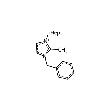 CCCCCCC[n+]1ccn(Cc2ccccc2)c1C